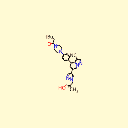 C[C@@H](CO)Cn1cc(-c2cc(-c3ccc(N4CCN(C(=O)CC(C)(C)C)CC4)cc3)c3c(C#N)cnn3c2)cn1